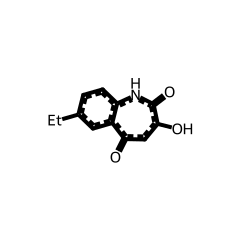 CCc1ccc2[nH]c(=O)c(O)cc(=O)c2c1